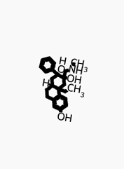 CCC12CC(O)(CNC)C(O)(c3ccccc3)C[C@H]1CCc1cc(O)ccc12